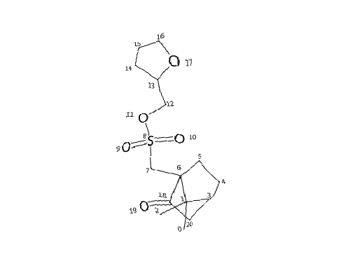 CC1(C)C2CCC1(CS(=O)(=O)OCC1CCCO1)C(=O)C2